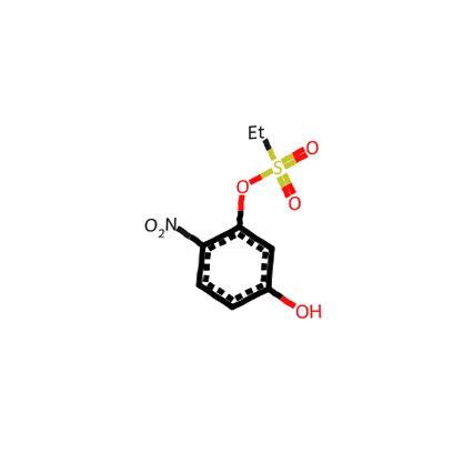 CCS(=O)(=O)Oc1cc(O)ccc1[N+](=O)[O-]